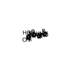 O=c1cc(-c2ccnc(N[C@@H]3CCOC[C@@H]3F)n2)ccn1[C@H](CO)c1ccc(Cl)c(F)c1